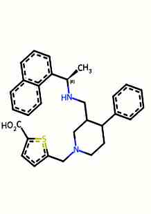 C[C@@H](NCC1CN(Cc2ccc(C(=O)O)s2)CCC1c1ccccc1)c1cccc2ccccc12